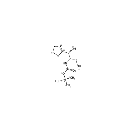 CC(C)(C)OC(=O)N[C@@H](CO)[C@H](O)C1=CCCC1